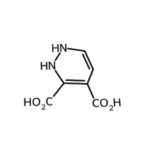 O=C(O)C1=C(C(=O)O)NNC=C1